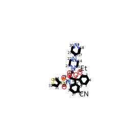 CCOc1ccccc1C1(OC(=O)N2CCN(c3ccncc3)CC2)C(=O)N(S(=O)(=O)c2ccsc2)c2ccc(C#N)cc21